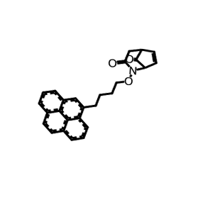 O=C1C2C=CC1N(OCCCCc1cc3cccc4ccc5cccc1c5c43)C(=O)C2